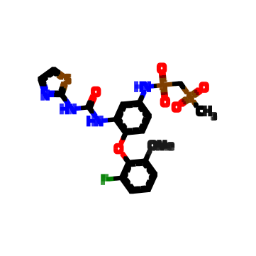 COc1cccc(F)c1Oc1ccc(NS(=O)(=O)CS(C)(=O)=O)cc1NC(=O)Nc1nccs1